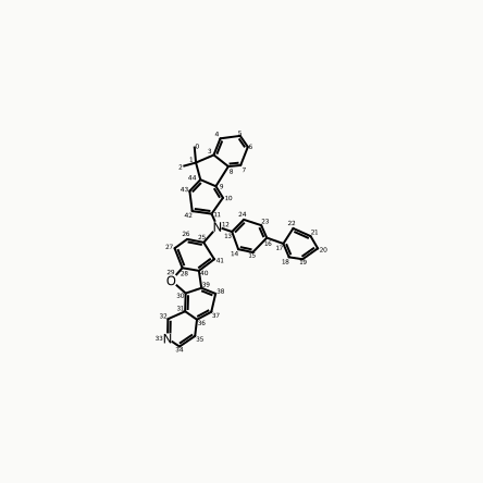 CC1(C)c2ccccc2-c2cc(N(c3ccc(-c4ccccc4)cc3)c3ccc4oc5c6cnccc6ccc5c4c3)ccc21